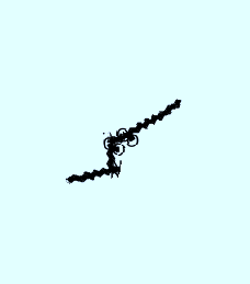 [CH2][C@H](COC(=O)CCCCCCCCCCCCC)OC(=O)CCCC1(CCCCCCCCC)N=N1